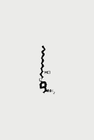 CCCCCCCCCCCCOc1ccc(C(C)N)cc1.Cl